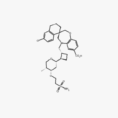 C[C@@H]1CO[C@H]([C@@H]2CC[C@H]2CN2C[C@@]3(CCCc4cc(Cl)ccc43)COc3ccc(C(=O)O)cc32)C[C@@H]1OCCS(N)(=O)=O